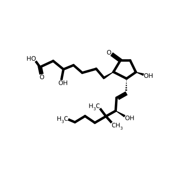 CCCCC(C)(C)[C@H](O)/C=C/[C@H]1[C@H](O)CC(=O)[C@@H]1CCCCC(O)CC(=O)O